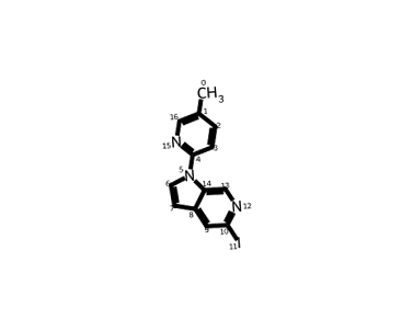 Cc1ccc(-n2ccc3cc(I)ncc32)nc1